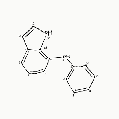 c1ccc(Pc2cccc3cc[pH]c23)cc1